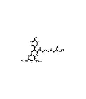 COc1cc(/C=C(\C(=O)NCCCCCC(=O)NO)c2ccc(F)cc2)cc(OC)c1